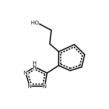 OCCc1ccccc1-c1nnn[nH]1